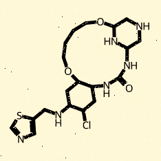 O=C1NC2CNCC(N2)OCCCCOC2CC(NCc3cncs3)C(Cl)CC2N1